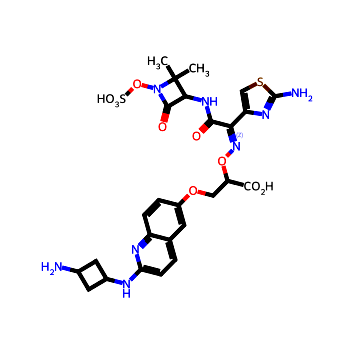 CC1(C)C(NC(=O)/C(=N\OC(COc2ccc3nc(NC4CC(N)C4)ccc3c2)C(=O)O)c2csc(N)n2)C(=O)N1OS(=O)(=O)O